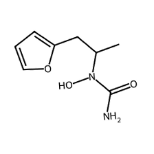 CC(Cc1ccco1)N(O)C(N)=O